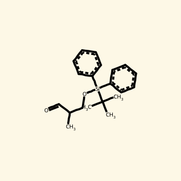 CC(C=O)CO[Si](c1ccccc1)(c1ccccc1)C(C)(C)C